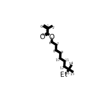 C=C(C)C(=O)OCCCCCCCC(C)(C)CC